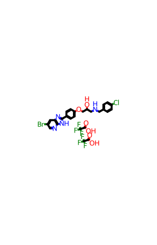 O=C(O)C(F)(F)F.O=C(O)C(F)(F)F.OC(CNCc1ccc(Cl)cc1)COc1ccc(-c2nc3cc(Br)cnc3[nH]2)cc1